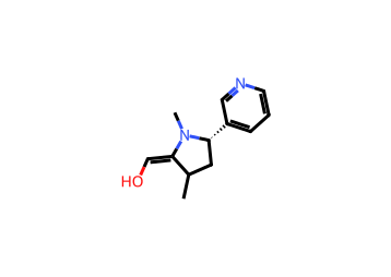 CC1C[C@@H](c2cccnc2)N(C)/C1=C/O